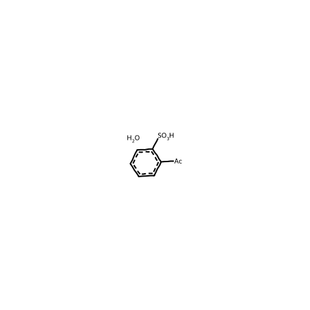 CC(=O)c1ccccc1S(=O)(=O)O.O